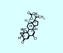 CC(=O)O[C@]1(C(C)=O)CC[C@H]2[C@@H]3C=C(Cl)C4=CC(=O)[C@@H]5C[C@@H]5[C@]4(C)C3CC[C@@]21C